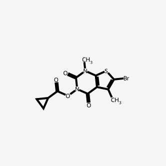 Cc1c(Br)sc2c1c(=O)n(OC(=O)C1CC1)c(=O)n2C